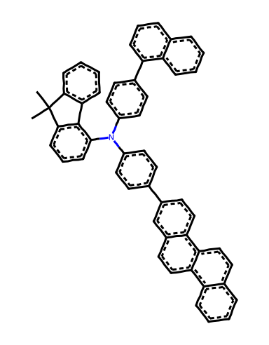 CC1(C)c2ccccc2-c2c(N(c3ccc(-c4ccc5c(ccc6c7ccccc7ccc56)c4)cc3)c3ccc(-c4cccc5ccccc45)cc3)cccc21